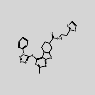 Cc1nc(Sc2nnnn2-c2ccccc2)c2c3c(sc2n1)CC(C(=O)NCCc1nccs1)CC3